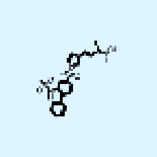 CS(=O)(=O)Nc1cc(S(=O)(=O)n2ccc(C=CC(=O)NO)c2)ccc1-c1ccccc1